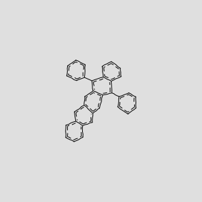 c1ccc(-c2c3ccccc3c(-c3ccccc3)c3cc4cc5ccccc5cc4cc23)cc1